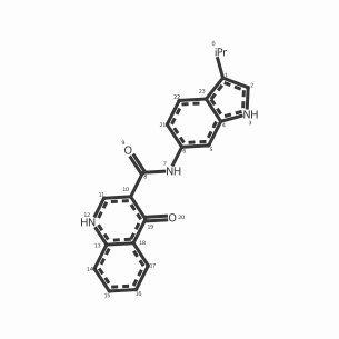 CC(C)c1c[nH]c2cc(NC(=O)c3c[nH]c4ccccc4c3=O)ccc12